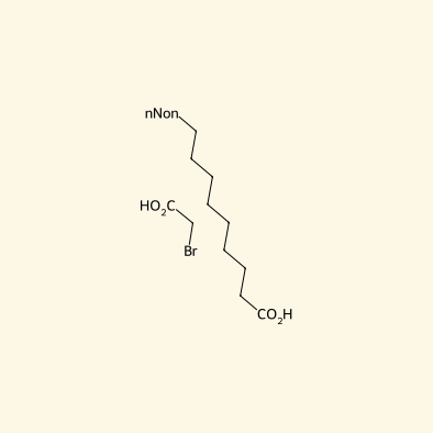 CCCCCCCCCCCCCCCCCC(=O)O.O=C(O)CBr